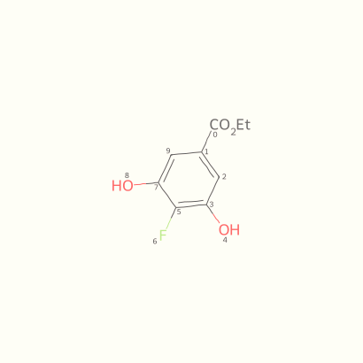 CCOC(=O)c1cc(O)c(F)c(O)c1